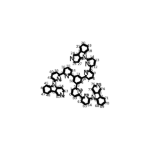 c1cc(-c2cc(-c3cccc(-c4cccc(-n5c6ccccc6c6cnccc65)n4)n3)cc(-c3cccc(-c4cccc(-n5c6ccccc6c6cnccc65)n4)n3)c2)nc(-c2cccc(-n3c4ccccc4c4cnccc43)n2)c1